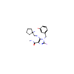 CCNC(=O)c1nc(I)n(Cc2cccc(O)c2)c1NCC1(N)CCCC1